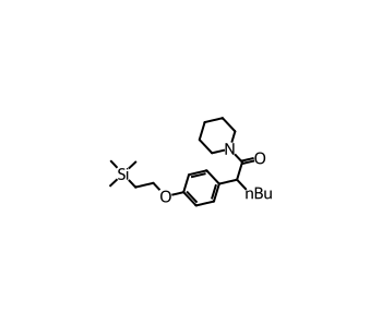 CCCCC(C(=O)N1CCCCC1)c1ccc(OCC[Si](C)(C)C)cc1